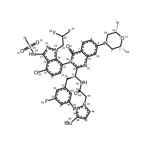 C[C@@H]1CN(c2ccc3c(=O)n(-c4ccc(Cl)c5c(NS(C)(=O)=O)nn(CC(F)F)c45)c([C@H](Cc4cc(F)cc(F)c4)NC(=O)Cn4ccc(C(C)(C)C)n4)nc3c2)C[C@H](C)O1